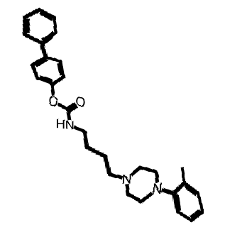 Cc1ccccc1N1CCN(CCCCNC(=O)Oc2ccc(-c3ccccc3)cc2)CC1